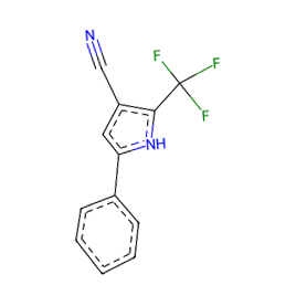 N#Cc1cc(-c2ccccc2)[nH]c1C(F)(F)F